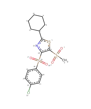 CS(=O)(=O)c1sc(C2CCCCC2)nc1S(=O)(=O)c1ccc(Cl)cc1